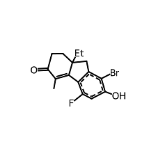 CCC12CCC(=O)C(C)=C1c1c(F)cc(O)c(Br)c1C2